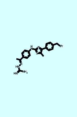 CC(=NNC(=N)N)c1ccc(Nc2nc(-c3ccc(CC(C)C)cc3)c(C)s2)cc1